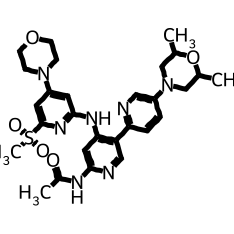 CC(=O)Nc1cc(Nc2cc(N3CCOCC3)cc(S(C)(=O)=O)n2)c(-c2ccc(N3CC(C)OC(C)C3)cn2)cn1